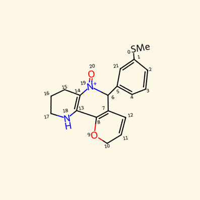 CSc1cccc(C2C3=C(OCC=C3)C3=C(CCCN3)[N+]2=O)c1